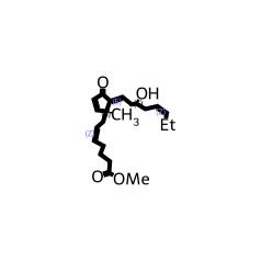 CC/C=C\C[C@H](O)C/C=C1/C(=O)C=C[C@]1(C)C/C=C\CCCC(=O)OC